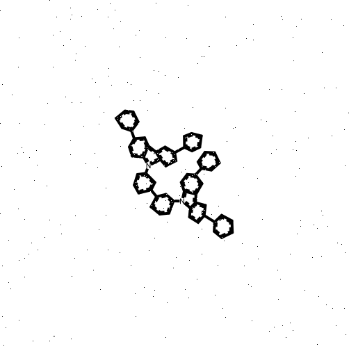 c1ccc(-c2ccc3c(c2)c2cc(-c4ccccc4)ccc2n3-c2cccc(-c3cccc(-n4c5ccc(-c6ccccc6)cc5c5cc(-c6ccccc6)ccc54)c3)c2)cc1